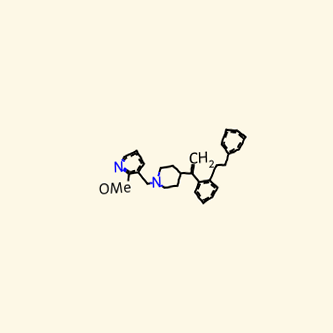 C=C(c1ccccc1CCc1ccccc1)C1CCN(Cc2cccnc2OC)CC1